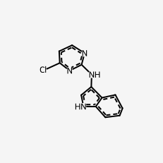 Clc1ccnc(Nc2c[nH]c3ccccc23)n1